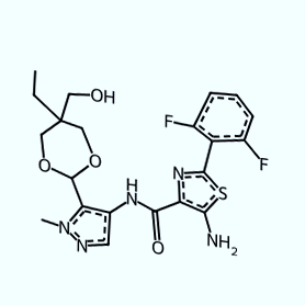 CCC1(CO)COC(c2c(NC(=O)c3nc(-c4c(F)cccc4F)sc3N)cnn2C)OC1